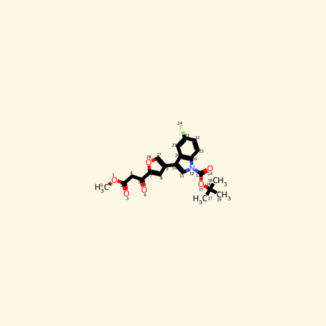 COC(=O)CC(=O)c1cc(-c2cn(C(=O)OC(C)(C)C)c3ccc(F)cc23)co1